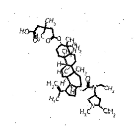 C=C(C)[C@@H]1CC[C@]2(CC(=O)N(CC)C3CC(C)N(C)C3)CC[C@]3(C)[C@H](CC[C@@H]4[C@@]5(C)CC[C@H](OC(=O)CC(C)(C)CC(=O)O)C(C)(C)[C@@H]5CC[C@]43C)[C@@H]12